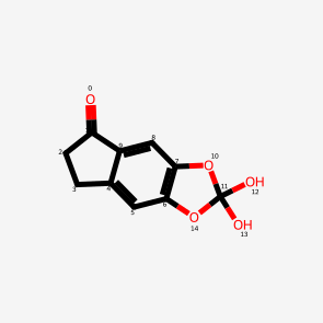 O=C1CCc2cc3c(cc21)OC(O)(O)O3